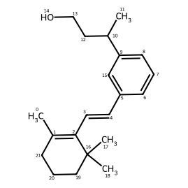 CC1=C(C=Cc2cccc(C(C)CCO)c2)C(C)(C)CCC1